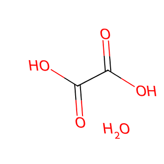 O.O=C(O)C(=O)O